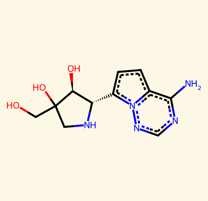 Nc1ncnn2c([C@@H]3NCC(O)(CO)[C@H]3O)ccc12